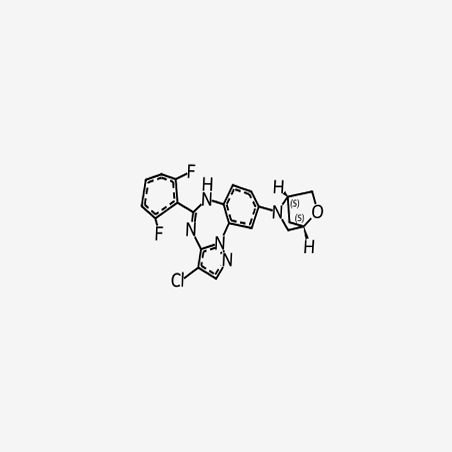 Fc1cccc(F)c1C1=Nc2c(Cl)cnn2-c2cc(N3C[C@@H]4C[C@H]3CO4)ccc2N1